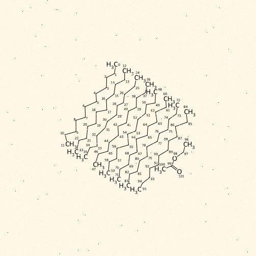 CCCCCCCCCCCC.CCCCCCCCCCCC.CCCCCCCCCCCC.CCCCCCCCCCCC.CCCCCCCCCCCC.CCCCCCCCCCCC.CCCCCCCCCCCC.CCCCCCCCCCCC.CCOC(C)=O